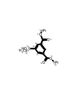 CCCOC(=O)c1cc(C(=O)OCCC)cc(S(=O)(=O)O)c1.[CaH2]